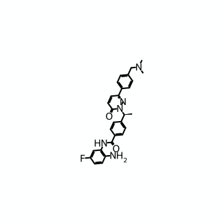 C[C@@H](c1ccc(C(=O)Nc2cc(F)ccc2N)cc1)n1nc(-c2ccc(CN(C)C)cc2)ccc1=O